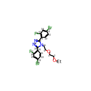 CCOCCOCCn1c(-c2ccc(Br)cc2F)nnc1-c1ccc(Br)cc1F